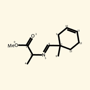 COC(=O)C(C)/N=C/C1(C)CC=CCC1